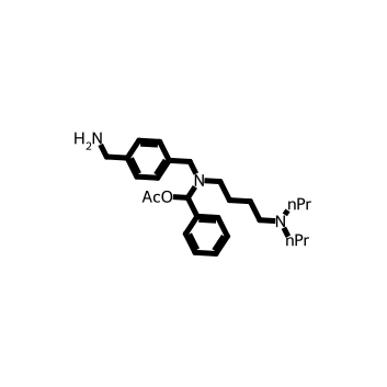 CCCN(CCC)CCCCN(Cc1ccc(CN)cc1)C(OC(C)=O)c1ccccc1